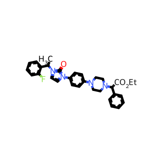 CCOC(=O)C(c1ccccc1)N1CCN(c2ccc(-n3ccn(C(C)c4ccccc4F)c3=O)cc2)CC1